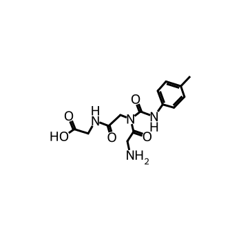 Cc1ccc(NC(=O)N(CC(=O)NCC(=O)O)C(=O)CN)cc1